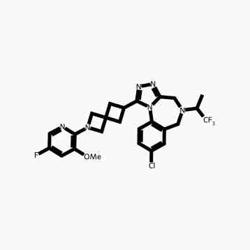 COc1cc(F)cnc1N1CC2(CC(c3nnc4n3-c3ccc(Cl)cc3CN(C(C)C(F)(F)F)C4)C2)C1